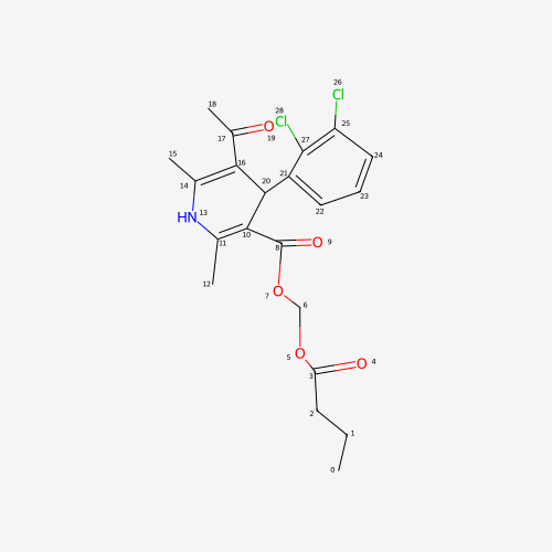 CCCC(=O)OCOC(=O)C1=C(C)NC(C)=C(C(C)=O)C1c1cccc(Cl)c1Cl